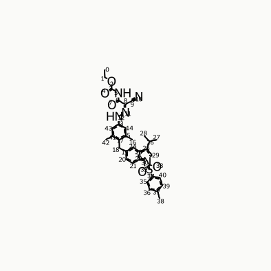 CCOC(=O)NC(=O)C(C#N)=NNc1cc(C)c(Cc2ccc3c(c2)c(C(C)C)cn3S(=O)(=O)c2ccc(C)cc2)c(C)c1